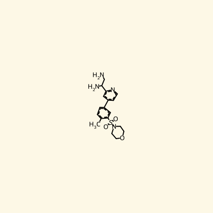 Cc1ccc(-c2ccnc(C(N)CN)c2)cc1S(=O)(=O)N1CCOCC1